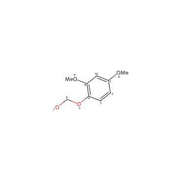 COc1ccc(OC[O])c(OC)c1